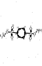 NOS(=O)(=O)c1ccc(S(=O)(=O)ON)cc1